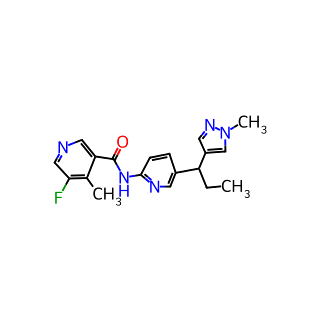 CCC(c1ccc(NC(=O)c2cncc(F)c2C)nc1)c1cnn(C)c1